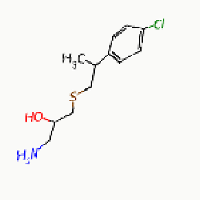 CC(CSCC(O)CN)c1ccc(Cl)cc1